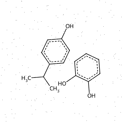 CC(C)c1ccc(O)cc1.Oc1ccccc1O